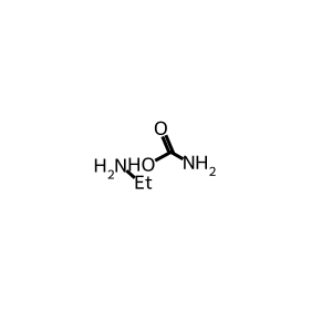 CCN.NC(=O)O